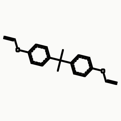 C=COc1ccc(C(C)(C)c2ccc(OC=C)cc2)cc1